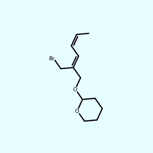 C/C=C\C=C(/CBr)COC1CCCCO1